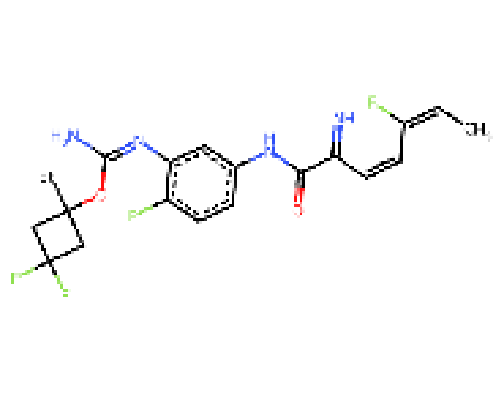 C/C=C(F)\C=C/C(=N)C(=O)Nc1ccc(F)c(/N=C(/N)OC2(CC)CC(F)(F)C2)c1